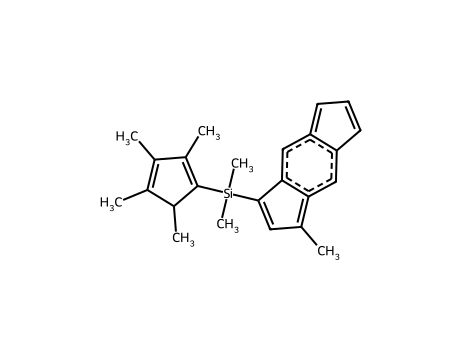 CC1=C(C)C(C)C([Si](C)(C)C2=CC(C)=c3cc4c(cc32)=CC=C4)=C1C